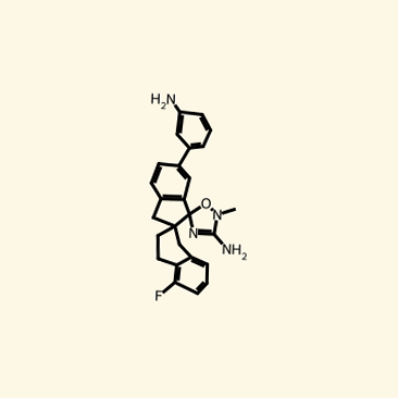 CN1OC2(N=C1N)c1cc(-c3cccc(N)c3)ccc1CC21CCc2c(F)cccc2C1